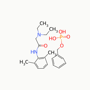 CCN(CC)CC(=O)Nc1c(C)cccc1C.O=P(O)(O)OCc1ccccc1